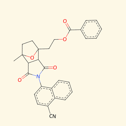 CC12CCC(CCOC(=O)c3ccccc3)(O1)C1C(=O)N(c3ccc(C#N)c4ccccc34)C(=O)C12